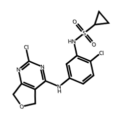 O=S(=O)(Nc1cc(Nc2nc(Cl)nc3c2COC3)ccc1Cl)C1CC1